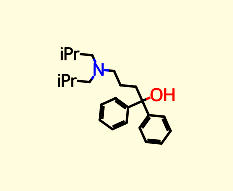 CC(C)CN(CCCC(O)(c1ccccc1)c1ccccc1)CC(C)C